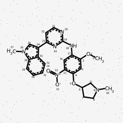 COc1cc(OC2CCN(C)C2)c([N+](=O)[O-])cc1Nc1nccc(-c2cn(C)c3ccccc23)n1